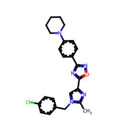 Cc1nc(-c2nc(-c3ccc(N4CCCCC4)cc3)no2)cn1Cc1ccc(Cl)cc1